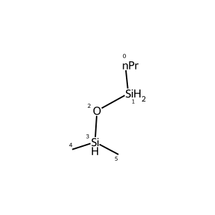 CCC[SiH2]O[SiH](C)C